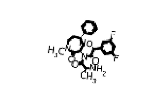 C[C@H](N)C(=O)N(C(=O)[C@@H](O)c1cc(F)cc(F)c1)[C@H]1C[C@@H](c2ccccc2)CCN(C)C1=O